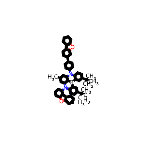 Cc1cc2c3c(c1)N(c1cccc4oc5ccccc5c14)c1ccc(C(C)(C)C)cc1B3c1cc(C(C)(C)C)ccc1N2c1ccc(-c2ccc3c(c2)oc2ccccc23)cc1